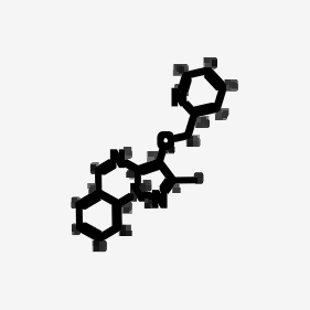 Cc1nn2c(ncc3ccccc32)c1OCc1ccccn1